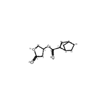 O=C1CC(OC(=O)C2CC3CCC2C3)CO1